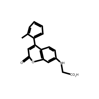 Cc1ccccc1-c1cc(=O)oc2cc(NCC(=O)O)ccc12